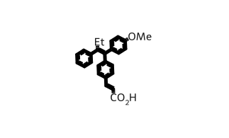 CC/C(=C(/c1ccc(/C=C/C(=O)O)cc1)c1ccc(OC)cc1)c1ccccc1